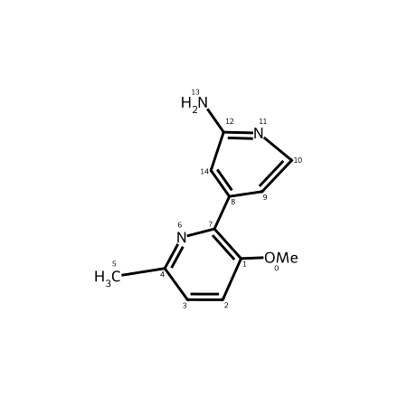 COc1ccc(C)nc1-c1ccnc(N)c1